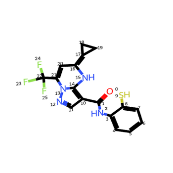 O=C(Nc1ccccc1S)c1cnn2c1NC(=C1CC1)C=C2C(F)(F)F